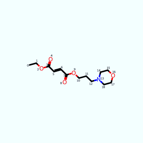 CCOC(=O)/C=C/C(=O)OCCCN1CCOCC1